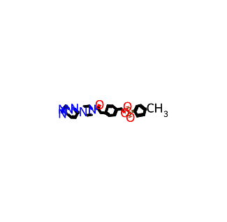 Cc1ccc(S(=O)(=O)OCc2ccc(CC(=O)N3CCN(c4ccc5nncn5n4)CC3)cc2)cc1